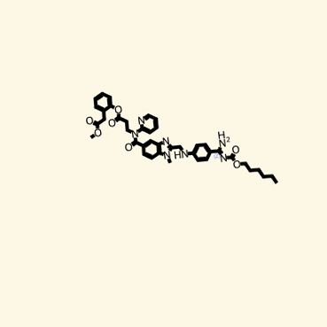 CCCCCCOC(=O)/N=C(\N)c1ccc(NCc2nc3cc(C(=O)N(CCC(=O)Oc4ccccc4CC(=O)OC)c4ccccn4)ccc3n2C)cc1